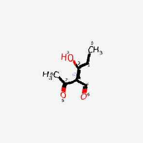 CC/C(O)=C(\C=O)C(C)=O